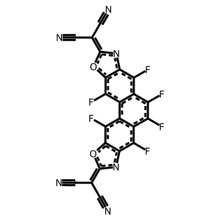 N#CC(C#N)=c1nc2c(F)c3c(F)c(F)c4c(F)c5nc(=C(C#N)C#N)oc5c(F)c4c3c(F)c2o1